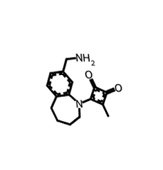 Cc1c(N2CCCCc3ccc(CN)cc32)c(=O)c1=O